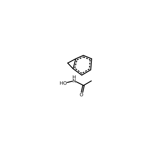 CC(=O)NO.c1ccc2c(c1)C2